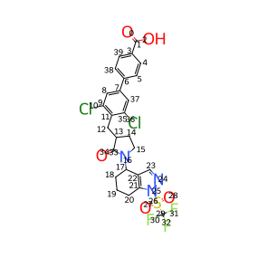 O=C(O)c1ccc(-c2cc(Cl)c(CC3CCN(C4CCCc5c4cnn5S(=O)(=O)C(F)(F)F)C3=O)c(Cl)c2)cc1